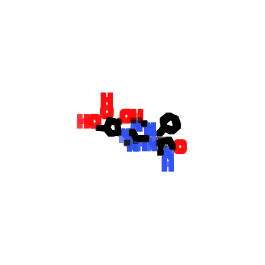 O=C1C[C@](Cc2ccccc2)(Nc2ncnc3c2ncn3C2CC(CO)C(O)C2O)CN1